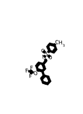 Cc1ccc(S(=O)(=O)N=Cc2ccc(OC(F)(F)F)c(-c3ccccc3)c2)cc1